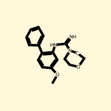 COc1ccc(-c2ccccc2)c(NC(=N)N2CCOCC2)c1